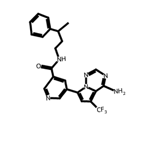 CC(CCNC(=O)c1cncc(-c2cc(C(F)(F)F)c3c(N)ncnn23)c1)c1ccccc1